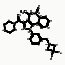 CCc1c(C(=O)N2CCOCC2)nn(-c2cccc(CN3CC(F)(F)C3)c2)c1-c1ccccc1S(=O)O